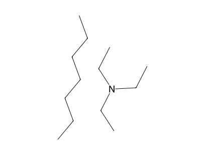 CCCCCCC.CCN(CC)CC